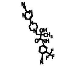 CC(O)(CN1CCN(c2cnc(C#N)nc2)CC1)C(=O)Nc1ccc(C#N)c(C(F)(F)F)c1